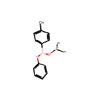 CC(C)[SiH](OB(Oc1ccccc1)c1ccc(C#N)cc1)C(C)C